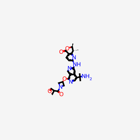 C[C@@H]1OC(=O)c2ccc(Nc3cc4c(C(C)(C)N)cnc(OC5CN(C(=O)C6COC6)C5)c4cn3)nc2[C@H]1C